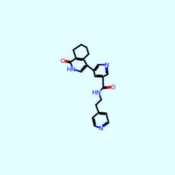 O=C(NCCc1ccncc1)c1cncc(-c2c[nH]c(=O)c3c2CCCC3)c1